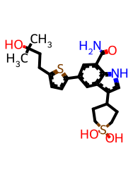 CC(C)(O)CCc1ccc(-c2cc(C(N)=O)c3[nH]cc(C4CCS(O)(O)CC4)c3c2)s1